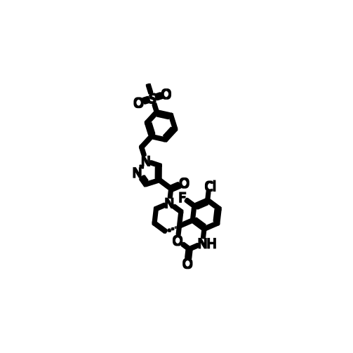 CS(=O)(=O)c1cccc(Cn2cc(C(=O)N3CCC[C@@]4(C3)OC(=O)Nc3ccc(Cl)c(F)c34)cn2)c1